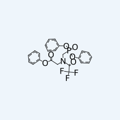 O=C(CN(CP(=O)(Oc1ccccc1)Oc1ccccc1)C(=O)C(F)(F)F)Oc1ccccc1